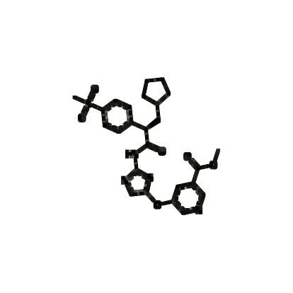 COC(=O)c1cncc(Oc2cnc(NC(=O)[C@H](CC3CCCC3)c3ccc(S(C)(=O)=O)cc3)s2)c1